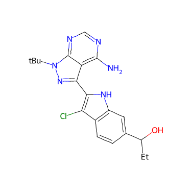 CCC(O)c1ccc2c(Cl)c(-c3nn(C(C)(C)C)c4ncnc(N)c34)[nH]c2c1